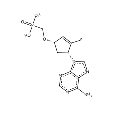 Nc1ncnc2c1ncn2[C@@H]1C[C@H](OCP(=O)(O)O)C=C1F